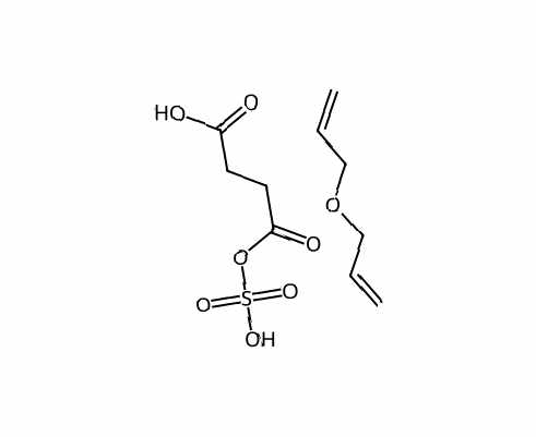 C=CCOCC=C.O=C(O)CCC(=O)OS(=O)(=O)O